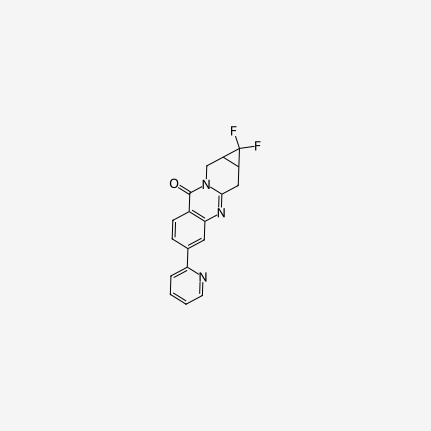 O=c1c2ccc(-c3ccccn3)cc2nc2n1CC1C(C2)C1(F)F